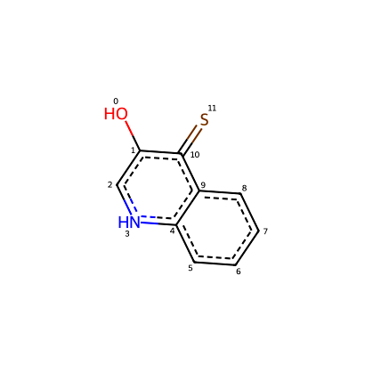 Oc1c[nH]c2ccccc2c1=S